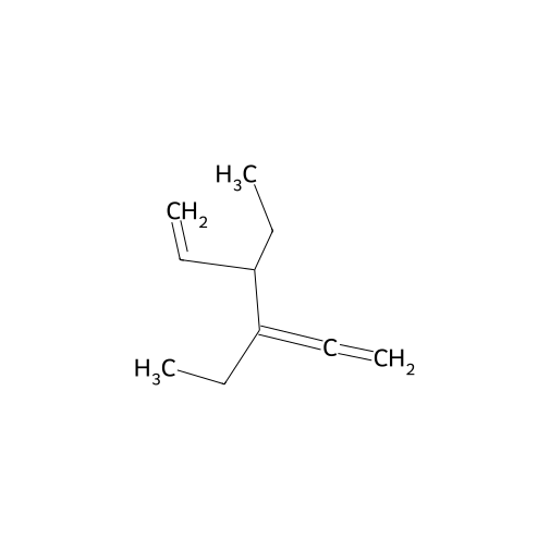 C=C=C(CC)C(C=C)CC